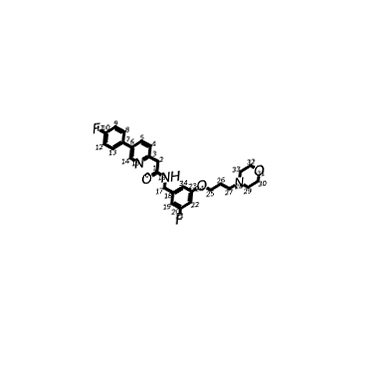 O=C(Cc1ccc(-c2ccc(F)cc2)cn1)NCc1cc(F)cc(OCCCN2CCOCC2)c1